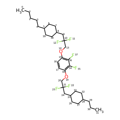 CCCCCC1CCC(CC(F)(F)COc2ccc(OCC(F)(F)CC3CCC(CCC)CC3)c(F)c2F)CC1